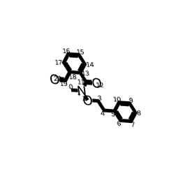 CN(OCCc1ccccc1)C(=O)c1ccccc1C=O